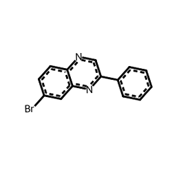 Brc1ccc2ncc(-c3ccccc3)nc2c1